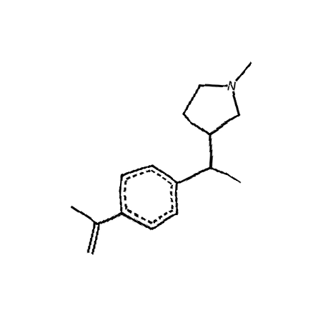 C=C(C)c1ccc(C(C)C2CCN(C)C2)cc1